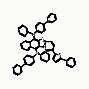 c1ccc(-c2ccc(N(c3ccccc3)c3c4ccccc4c(N(c4ccccc4)c4ccc(-c5ccccc5)cc4)c4c3nc3ccc(-c5ccc(-c6ccccc6)s5)cn34)cc2)cc1